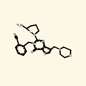 N#Cc1ccccc1Cn1c(N2CCCC(N)C2)nc2c(CN3CCOCC3)csc2c1=O